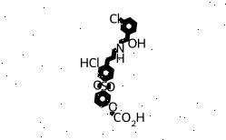 Cl.O=C(O)COc1cccc(S(=O)(=O)c2ccc(CCCNC[C@H](O)c3cccc(Cl)c3)cc2)c1